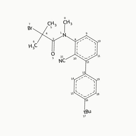 CN(C(=O)C(C)(C)Br)c1cccc(-c2ccc(C(C)(C)C)cc2)c1C#N